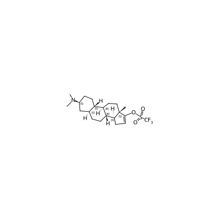 CN(C)[C@H]1CC[C@H]2[C@@H](CC[C@@H]3[C@@H]2CC[C@]2(C)C(OS(=O)(=O)C(F)(F)F)=CC[C@@H]32)C1